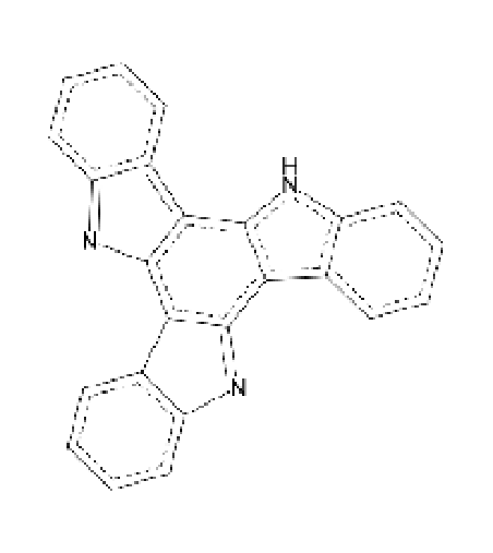 c1ccc2c(c1)N=c1c-2c2c(c3[nH]c4ccccc4c13)=c1ccccc1=N2